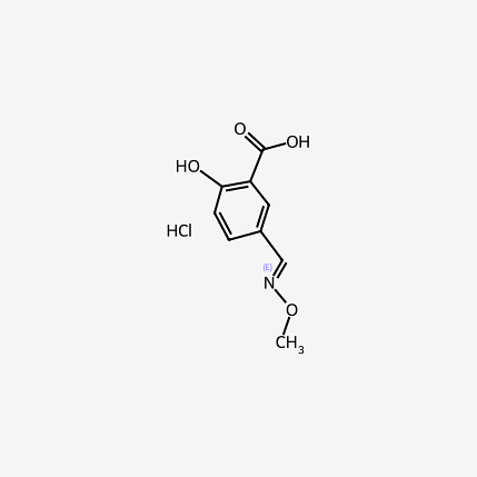 CO/N=C/c1ccc(O)c(C(=O)O)c1.Cl